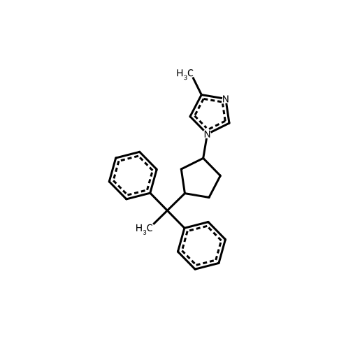 Cc1cn(C2CCC(C(C)(c3ccccc3)c3ccccc3)C2)cn1